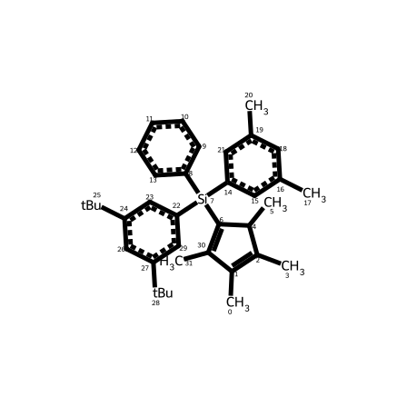 CC1=C(C)C(C)C([Si](c2ccccc2)(c2cc(C)cc(C)c2)c2cc(C(C)(C)C)cc(C(C)(C)C)c2)=C1C